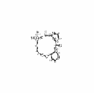 CC1(O)CCCCCOc2ccncc2NC(=O)c2ccnc(n2)NC1